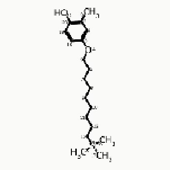 Cc1cc(OCCCCCCCCC[Si](C)(C)C)ccc1O